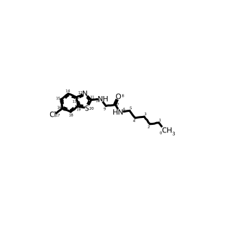 CCCCCCNC(=O)CNc1nc2ccc(Cl)cc2s1